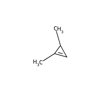 CC1=CC1C